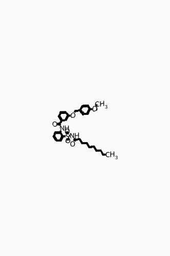 CCCCCCCCCC(=O)NS(=O)(=O)c1ccccc1NC(=O)c1cccc(OCc2ccc(OC)cc2)c1